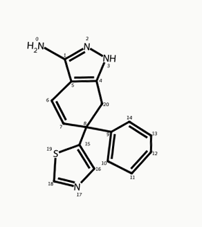 Nc1n[nH]c2c1C=CC(c1ccccc1)(c1cncs1)C2